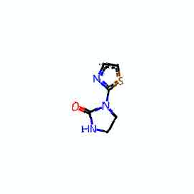 O=C1NCCN1c1n[c]cs1